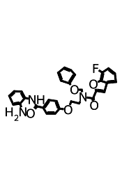 Nc1ccccc1NC(=O)c1ccc(OCCN(COc2ccccc2)C(=O)c2cc3cccc(F)c3o2)cc1